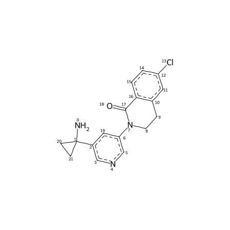 NC1(c2cncc(N3CCc4cc(Cl)ccc4C3=O)c2)CC1